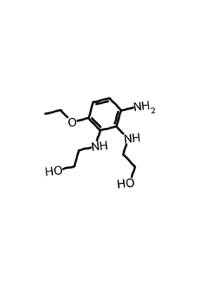 CCOc1ccc(N)c(NCCO)c1NCCO